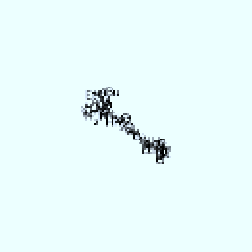 CCCCC(CC)C(=O)[C@@H]1Cc2ccccc2CN1C(=O)[C@@H](N)CCCNC(=O)COCCOCCNC(=O)CCN1C(=O)C=CC1=O